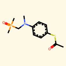 CC(=O)Sc1ccc(N(C)CP(C)(C)=O)cc1